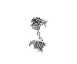 COC(=O)N[C@H](C(=O)N1[C@H](c2ncc(-c3ccc(-c4ccc(-c5cnc([C@@H]6C[C@@H]7C[C@@H]7N6C(=O)[C@@H](OC(N)=O)C(C)(C)O)[nH]5)cc4)cc3)[nH]2)C[C@@H]2C[C@@H]21)C(C)(C)O